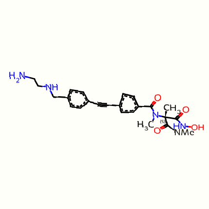 CNC(=O)[C@@](C)(C(=O)NO)N(C)C(=O)c1ccc(C#Cc2ccc(CNCCN)cc2)cc1